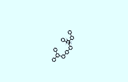 c1ccc(-c2cc(-c3ccccc3)cc(-c3cccc(-c4ccc(-c5cccc(-c6nc(-c7cccc(-c8ccccc8)c7)c7sc8ccccc8c7n6)c5)cc4)c3)c2)cc1